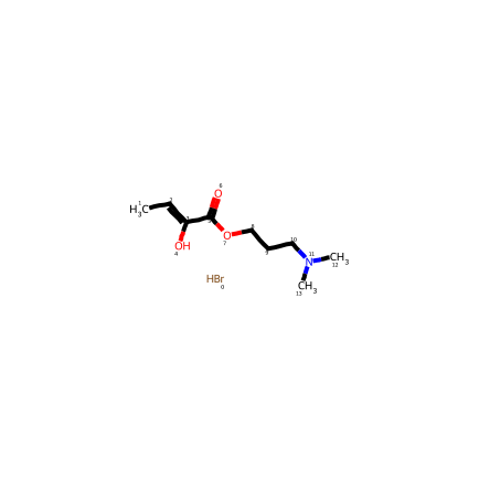 Br.CC=C(O)C(=O)OCCCN(C)C